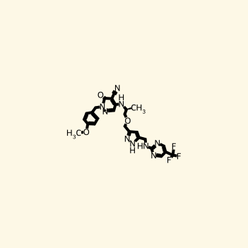 COc1ccc(Cn2ncc(N[C@@H](C)COCc3cc(CNc4ncc(C(F)(F)F)cn4)[nH]n3)c(C#N)c2=O)cc1